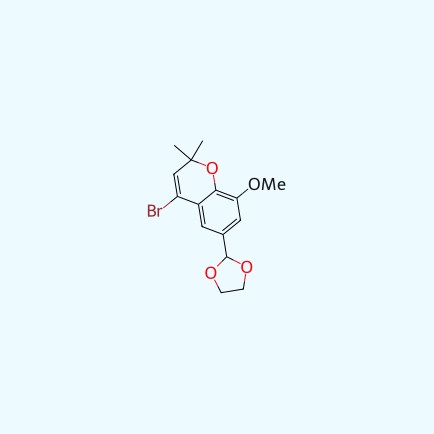 COc1cc(C2OCCO2)cc2c1OC(C)(C)C=C2Br